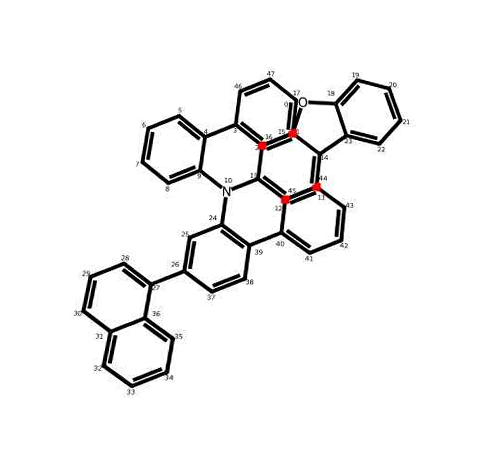 c1ccc(-c2ccccc2N(c2ccc3c(c2)oc2ccccc23)c2cc(-c3cccc4ccccc34)ccc2-c2ccccc2)cc1